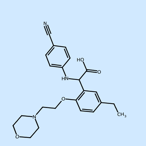 CCc1ccc(OCCN2CCOCC2)c(C(Nc2ccc(C#N)cc2)C(=O)O)c1